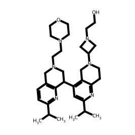 CC(C)c1cc(C2CN(CCN3CCOCC3)Cc3ccc(C(C)C)nc32)c2c(n1)CCN(C1CN(CCO)C1)C2